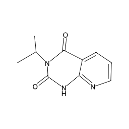 CC(C)n1c(=O)[nH]c2ncccc2c1=O